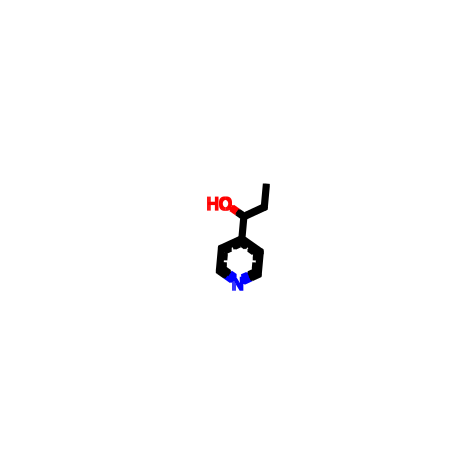 CCC(O)c1ccncc1